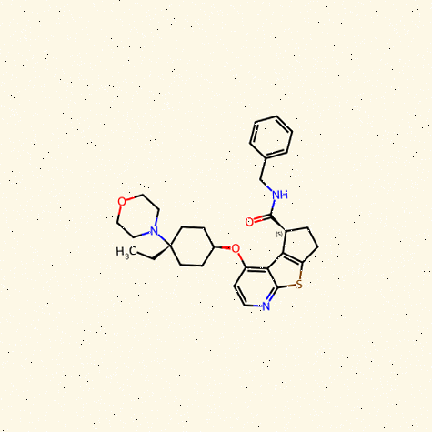 CC[C@]1(N2CCOCC2)CC[C@H](Oc2ccnc3sc4c(c23)[C@@H](C(=O)NCc2ccccc2)CC4)CC1